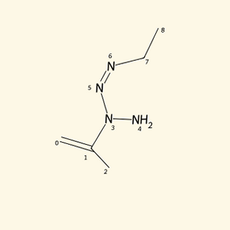 C=C(C)N(N)/N=N\CC